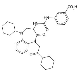 O=C(Nc1cccc(C(=O)O)c1)NC1CN(C2CCCCC2)c2ccccc2N(CC(=O)C2CCCCC2)C1=O